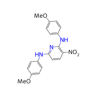 COc1ccc(Nc2ccc([N+](=O)[O-])c(Nc3ccc(OC)cc3)n2)cc1